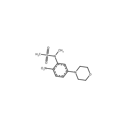 CN(c1cc(N2CCOCC2)ccc1[N+](=O)[O-])S(C)(=O)=O